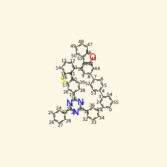 c1ccc(-c2ccc(-c3cc(-c4cccc5sc6cc(-c7nc(-c8ccccc8)nc(-c8ccccc8)n7)ccc6c45)c4c(c3)oc3ccccc34)cc2)cc1